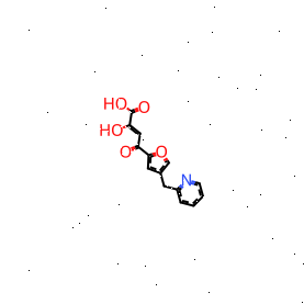 O=C(O)C(O)=CC(=O)c1cc(Cc2ccccn2)co1